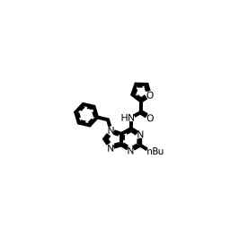 CCCCc1nc(NC(=O)c2ccco2)c2c(ncn2Cc2ccccc2)n1